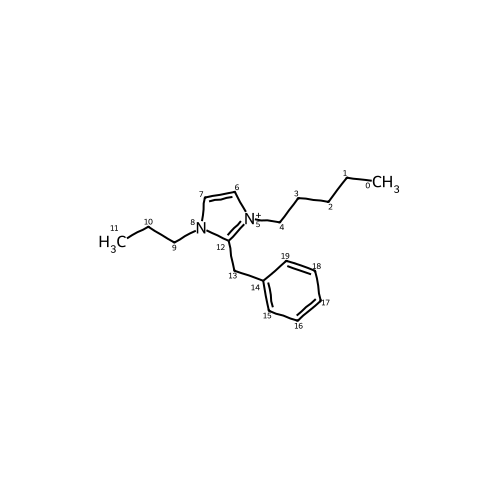 CCCCC[n+]1ccn(CCC)c1Cc1ccccc1